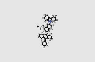 Cc1cc(-c2c3ccccc3c(-c3ccccc3)c3ccccc23)cc2ccc(-n3c4ccccc4c4ccccc43)cc12